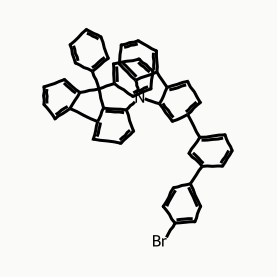 Brc1ccc(-c2cccc(-c3ccc4c5ccccc5n(-c5cccc6c5C(c5ccccc5)(c5ccccc5)c5ccccc5-6)c4c3)c2)cc1